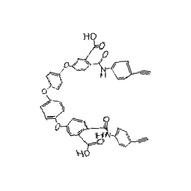 C#Cc1ccc(NC(=O)c2ccc(Oc3ccc(Oc4ccc(Oc5ccc(C(=O)Nc6ccc(C#C)cc6)c(C(=O)O)c5)cc4)cc3)cc2C(=O)O)cc1